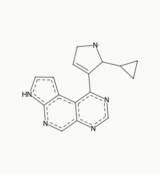 C1=C(c2ncnc3cnc4[nH]ccc4c23)C(C2CC2)[N]C1